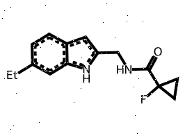 CCc1ccc2cc(CNC(=O)C3(F)CC3)[nH]c2c1